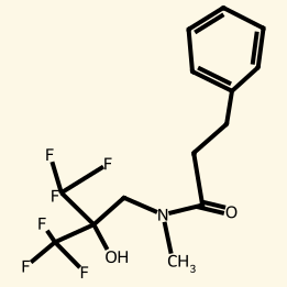 CN(CC(O)(C(F)(F)F)C(F)(F)F)C(=O)CCc1ccccc1